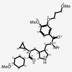 COCCCOc1cc(C(=O)N(CC2CNCC2CN(C(=O)[C@H]2CC[C@@H](OC)CC2)C2CC2)C(C)C)ccc1OC